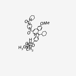 COc1ccc2c(c1)C=C(C(=O)N1CCN(C(=O)N3CCCCC3)CC1)Cn1c-2c(C2CCCCC2)c2ccc(C(=O)NS(=O)(=O)N(C)C)cc21